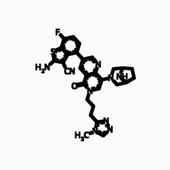 Cn1cnnc1CCCn1cc(N2CC3CCC(C2)N3)c2ncc(-c3ccc(F)c4sc(N)c(C#N)c34)cc2c1=O